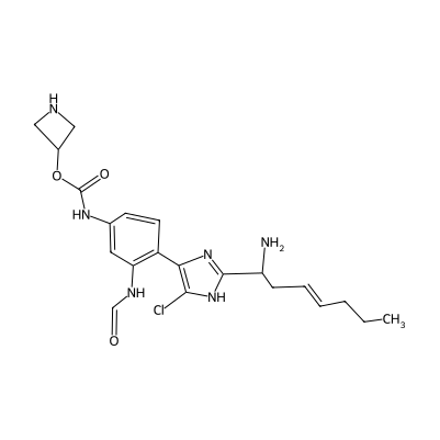 CCC/C=C/CC(N)c1nc(-c2ccc(NC(=O)OC3CNC3)cc2NC=O)c(Cl)[nH]1